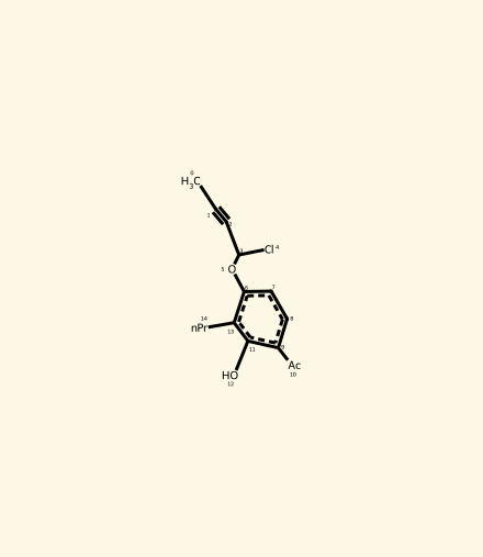 CC#CC(Cl)Oc1ccc(C(C)=O)c(O)c1CCC